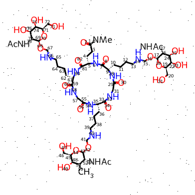 CNC(=O)CC[C@@H]1NC(=O)[C@H](CCCCNCO[C@@H]2O[C@H](CO)[C@H](O)[C@H](O)[C@H]2NC(C)=O)NC(=O)CNC(=O)[C@H](CCCCNCO[C@@H]2O[C@H](CO)[C@H](O)[C@H](C)[C@H]2NC(C)=O)NC(=O)CNC(=O)[C@H](CCCCNCO[C@@H]2O[C@H](CO)[C@H](O)[C@H](O)[C@H]2NC(C)=O)NC1=O